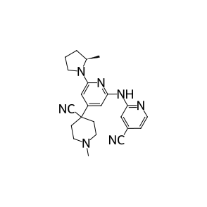 C[C@@H]1CCCN1c1cc(C2(C#N)CCN(C)CC2)cc(Nc2cc(C#N)ccn2)n1